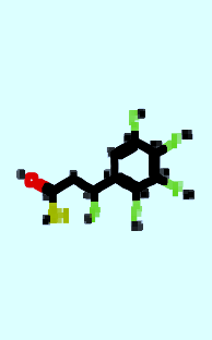 O=C(S)CC(F)c1cc(F)c(F)c(F)c1F